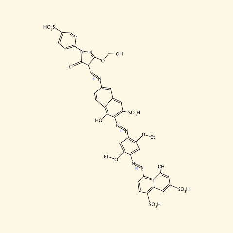 CCOc1cc(/N=N/c2ccc(S(=O)(=O)O)c3cc(S(=O)(=O)O)cc(O)c23)c(OCC)cc1/N=N/c1c(S(=O)(=O)O)cc2cc(/N=N/C3C(=O)N(c4ccc(S(=O)(=O)O)cc4)N=C3OCO)ccc2c1O